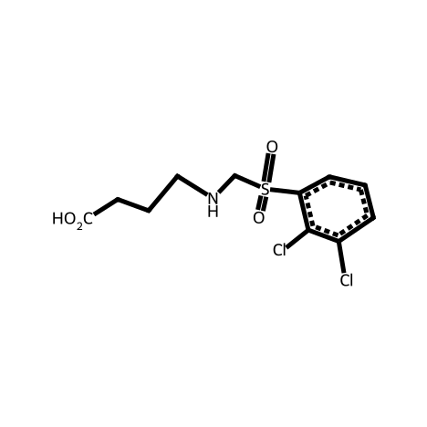 O=C(O)CCCNCS(=O)(=O)c1cccc(Cl)c1Cl